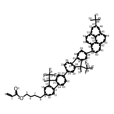 C=CC(=O)OCCCCc1ccc2c(c1)C(C)(C(F)(F)F)c1cc(-c3ccc4c(c3)C(C)(C(F)(F)F)c3cc(-c5ccc6ccc7cc(C(C)(C)C)cc8ccc5c6c78)ccc3-4)ccc1-2